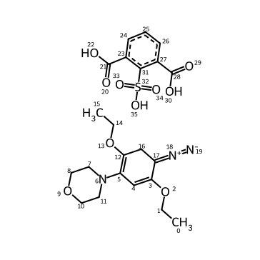 CCOC1=CC(N2CCOCC2)=C(OCC)CC1=[N+]=[N-].O=C(O)c1cccc(C(=O)O)c1S(=O)(=O)O